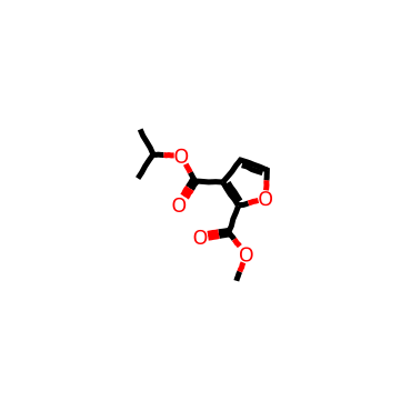 COC(=O)c1occc1C(=O)OC(C)C